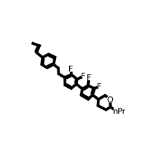 C/C=C/c1ccc(CCc2ccc(-c3ccc(C4CCC(CCC)OC4)c(F)c3F)c(F)c2F)cc1